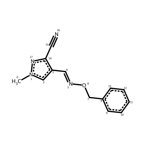 Cn1cc(C=NOCc2ccccc2)c(C#N)n1